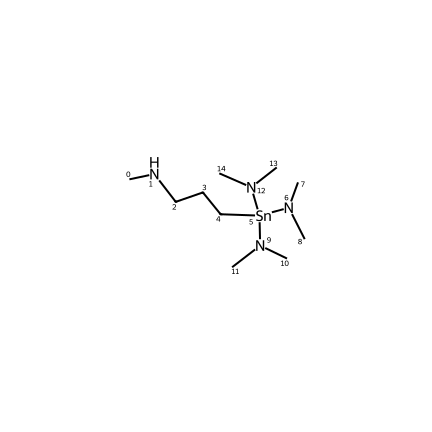 CNCC[CH2][Sn]([N](C)C)([N](C)C)[N](C)C